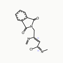 C=N/C(=C\C(Cl)=N/C)CN1C(=O)c2ccccc2C1=O